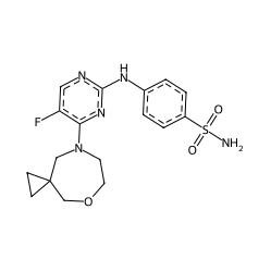 NS(=O)(=O)c1ccc(Nc2ncc(F)c(N3CCOCC4(CC4)C3)n2)cc1